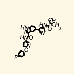 CN(C)C(=O)Nc1cncc(-c2ccc3[nH]nc(C(=O)Nc4ccc(Oc5ccc(F)cc5)nc4)c3c2)c1